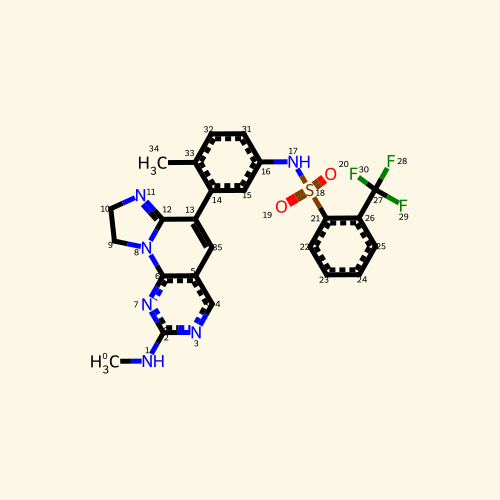 CNc1ncc2c(n1)N1CCN=C1C(c1cc(NS(=O)(=O)c3ccccc3C(F)(F)F)ccc1C)=C2